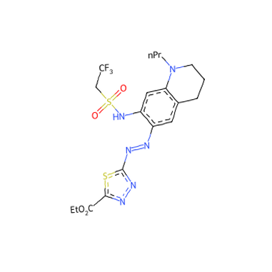 CCCN1CCCc2cc(N=Nc3nnc(C(=O)OCC)s3)c(NS(=O)(=O)CC(F)(F)F)cc21